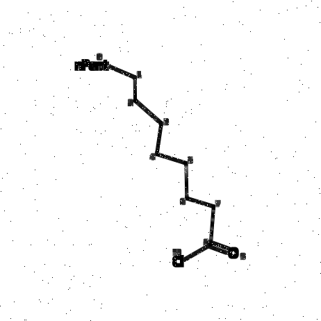 CCCCCCCCCCCCC(=O)Cl